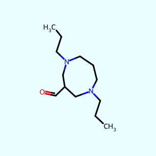 CCCN1CCCN(CCC)CC(C=O)C1